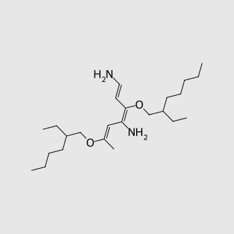 CCCCCC(CC)COC(/C=C/N)=C(N)/C=C(\C)OCC(CC)CCCC